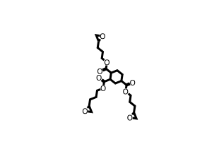 O=C(OCCCC1CO1)C1CCC(C(=O)OCCCC2CO2)C(C(=O)OCCCC2CO2)C1